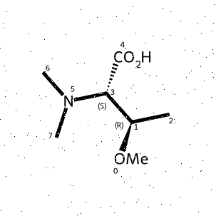 CO[C@H](C)[C@@H](C(=O)O)N(C)C